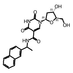 CC(NC(=O)c1cn([C@H]2C[C@H](O)[C@@H](CO)O2)c(=O)[nH]c1=O)c1ccc2ccccc2c1